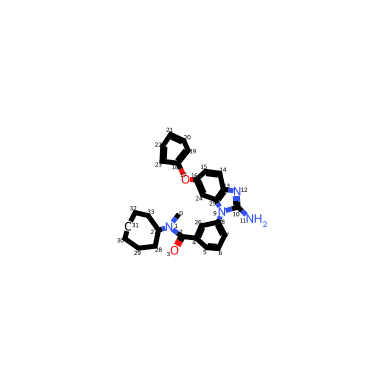 CN(C(=O)c1cccc(-n2c(N)nc3ccc(Oc4ccccc4)cc32)c1)C1CCCCCC1